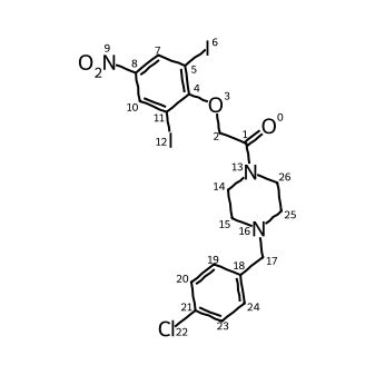 O=C(COc1c(I)cc([N+](=O)[O-])cc1I)N1CCN(Cc2ccc(Cl)cc2)CC1